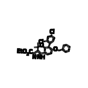 CCOC(=O)c1n[nH]c2c1C(C)(C)Oc1c-2ccc(OCc2ccccc2)c1-c1ccc(Cl)cc1Cl